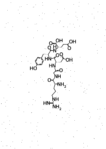 N=C(N)NCCC[C@H](N)C(=O)NCC(=O)N[C@@H](CC(=O)O)C(=O)N[C@H](Cc1ccc(O)cc1)C(=O)N[C@@H](CCC(=O)O)C(=O)O